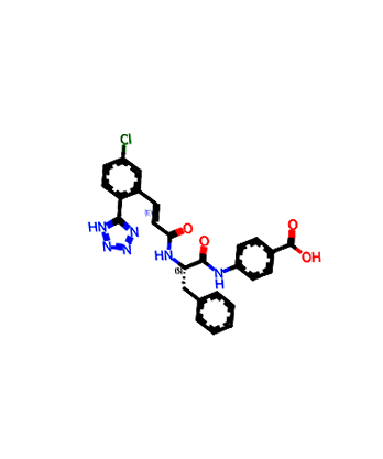 O=C(/C=C/c1cc(Cl)ccc1-c1nnn[nH]1)N[C@@H](Cc1ccccc1)C(=O)Nc1ccc(C(=O)O)cc1